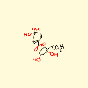 O=C(O)Cc1c(O)cc(O)cc1OC(=O)c1ccc(O)c(O)c1